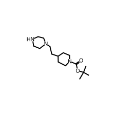 CC(C)(C)OC(=O)N1CCC(CCN2CCNCC2)CC1